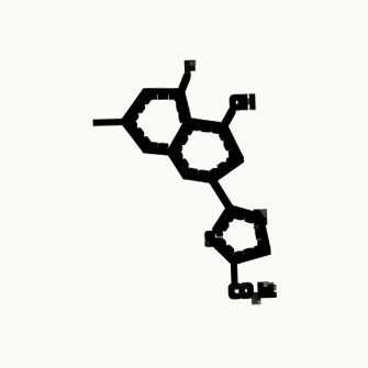 CCOC(=O)c1cnc(-c2cc(O)c3c(F)cc(C)cc3c2)s1